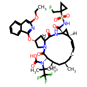 CCOc1cc2ccccc2c(O[C@@H]2C[C@H]3C(=O)N[C@]4(C(=O)NS(=O)(=O)C5(CF)CC5)C[C@H]4/C=C\CC[C@@H](C)C[C@@H](C)[C@H](N(C(=O)O)C(C)(C)C(F)(F)F)C(=O)N3C2)n1